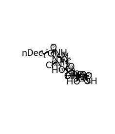 CCCCCCCCCCCCOC(=O)Nc1nc(Cl)nc2c1ncn2C1OC(CNP(=O)(O)CP(=O)(O)O)C(O)C1O